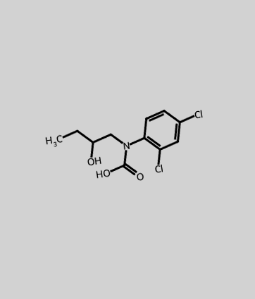 CCC(O)CN(C(=O)O)c1ccc(Cl)cc1Cl